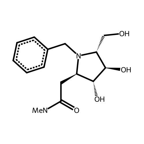 CNC(=O)C[C@@H]1[C@@H](O)[C@H](O)[C@@H](CO)N1Cc1ccccc1